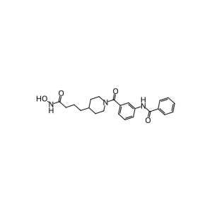 O=C(CCCC1CCN(C(=O)c2cccc(NC(=O)c3ccccc3)c2)CC1)NO